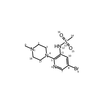 CN1CCN(c2ncc(Br)cc2NS(C)(=O)=O)CC1